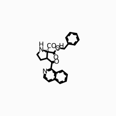 O=C(c1nccc2ccccc12)C1CCN[C@@]1(C(=O)O)C(=O)OCc1ccccc1